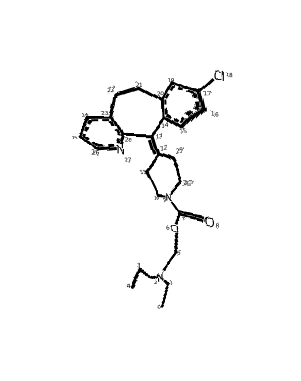 CCN(CC)COC(=O)N1CCC(=C2c3ccc(Cl)cc3CCc3cccnc32)CC1